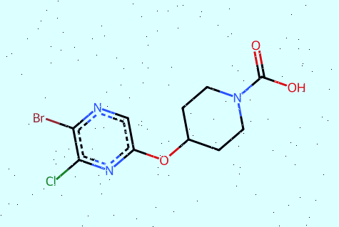 O=C(O)N1CCC(Oc2cnc(Br)c(Cl)n2)CC1